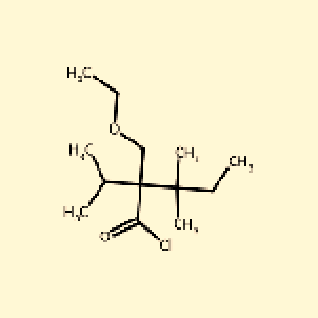 CCOCC(C(=O)Cl)(C(C)C)C(C)(C)CC